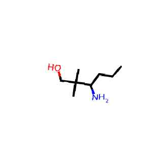 CCCC(N)C(C)(C)CO